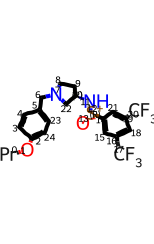 CC(C)Oc1ccc(CN2CC[C@@H](N[S@@+]([O-])c3cc(C(F)(F)F)cc(C(F)(F)F)c3)C2)cc1